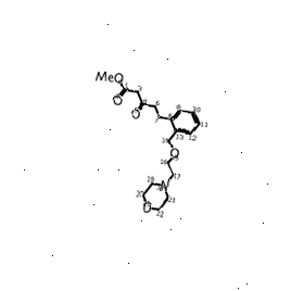 COC(=O)CC(=O)CCc1ccccc1COCCN1CCOCC1